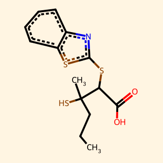 CCCC(C)(S)C(Sc1nc2ccccc2s1)C(=O)O